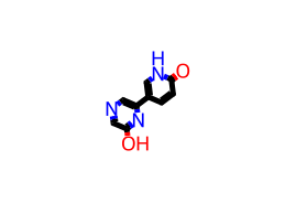 O=c1ccc(-c2cncc(O)n2)c[nH]1